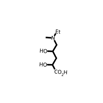 CCN(C)CC(O)CC(O)C(=O)O